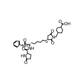 O=C1CCC(C(=O)N[C@@H](CCCCCSC2CC(=O)N(CC3CCC(C(=O)O)CC3)C2=O)C(=O)Nc2ccccc2)N1